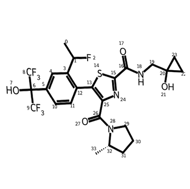 CC(F)c1cc(C(O)(C(F)(F)F)C(F)(F)F)ccc1-c1sc(C(=O)NCC2(O)CC2)nc1C(=O)N1CCC[C@@H]1C